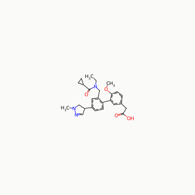 CCN(Cc1cc(C2C=NN(C)C2)ccc1-c1cc(CC(=O)O)ccc1OC)C(=O)C1CC1